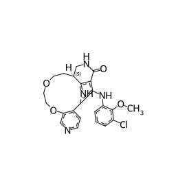 COc1c(Cl)cccc1Nc1c2[nH]c3c1C(=O)NC[C@@H]3CCOCCOc1cnccc1-2